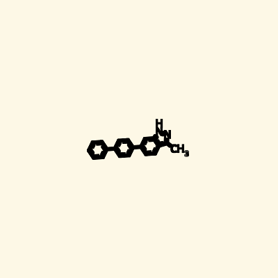 Cc1n[nH]c2cc(-c3ccc(-c4ccccc4)cc3)ccc12